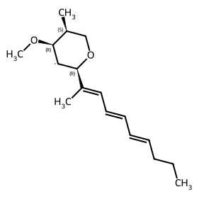 CCCC=CC=CC=C(C)[C@H]1[CH][C@@H](OC)[C@@H](C)CO1